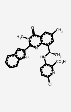 Cc1cc([C@@H](C)Nc2ccc(Cl)nc2C(=O)O)c2nc(-c3cc4ccccc4[nH]3)n(C)c(=O)c2c1